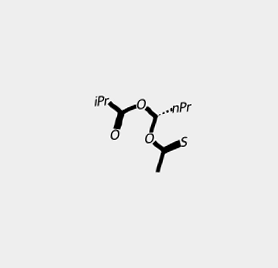 CCC[C@@H](OC(=O)C(C)C)OC(C)=S